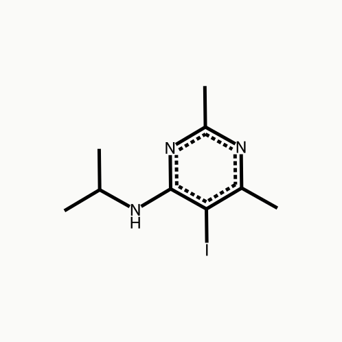 Cc1nc(C)c(I)c(NC(C)C)n1